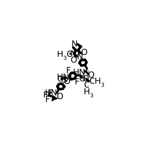 CC(C)OC(=O)[C@H](Cc1ccc(-n2c(=O)c3ccncc3n(C)c2=O)cc1)NC(=O)c1cc(F)c(NS(=O)(=O)c2ccc(C(=O)NC3(C(F)(F)F)CC3)cc2)cc1F